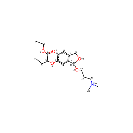 CCOC(=O)C(CC)Oc1ccc2c(c1)B(OCCCN(C)C)OC2